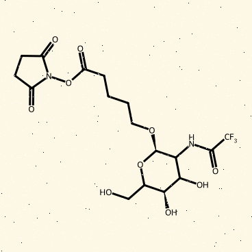 O=C(CCCCO[C@@H]1OC(CO)[C@H](O)C(O)C1NC(=O)C(F)(F)F)ON1C(=O)CCC1=O